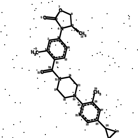 Cc1cc(N2C(=O)OC[C@H]2C)ccc1C(=O)N1CCN(c2ncc(C3CC3)cc2C)CC1